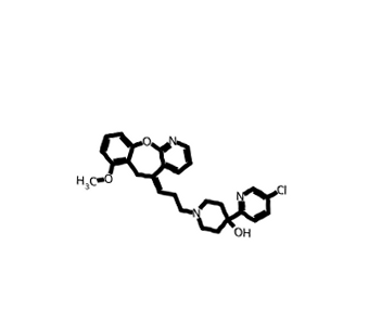 COc1cccc2c1C/C(=C/CCN1CCC(O)(c3ccc(Cl)cn3)CC1)c1cccnc1O2